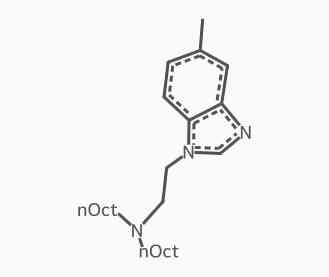 CCCCCCCCN(CCCCCCCC)CCn1cnc2cc(C)ccc21